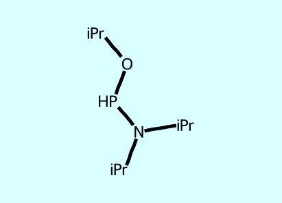 CC(C)OPN(C(C)C)C(C)C